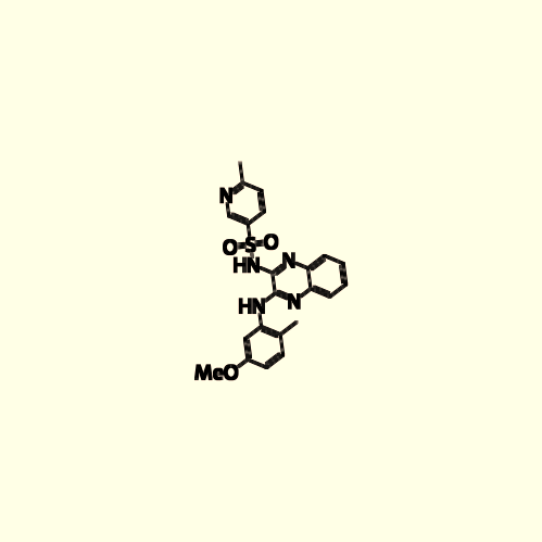 COc1ccc(C)c(Nc2nc3ccccc3nc2NS(=O)(=O)c2ccc(C)nc2)c1